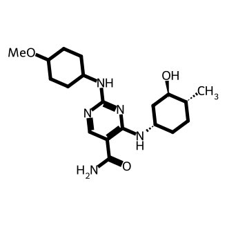 COC1CCC(Nc2ncc(C(N)=O)c(N[C@H]3CC[C@@H](C)[C@H](O)C3)n2)CC1